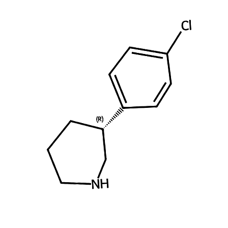 Clc1ccc([C@H]2CCCNC2)cc1